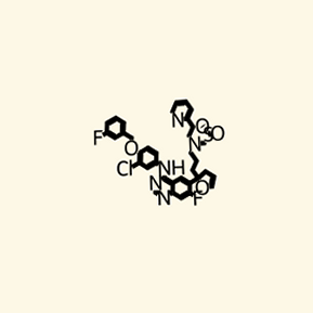 O=S(=O)=CN(CCCC1(c2cc3c(Nc4ccc(OCc5cccc(F)c5)c(Cl)c4)ncnc3cc2F)CC=CO1)CCc1ccccn1